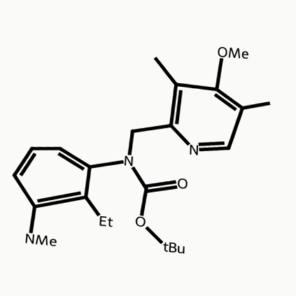 CCc1c(NC)cccc1N(Cc1ncc(C)c(OC)c1C)C(=O)OC(C)(C)C